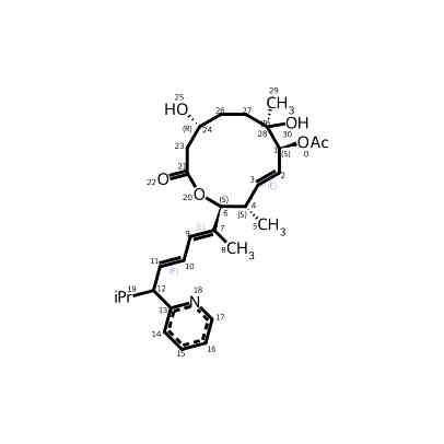 CC(=O)O[C@H]1/C=C/[C@H](C)[C@@H](/C(C)=C/C=C/C(c2ccccn2)C(C)C)OC(=O)C[C@H](O)CC[C@@]1(C)O